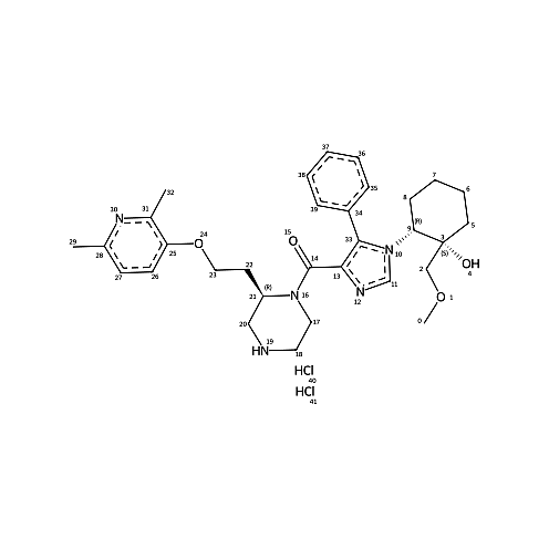 COC[C@]1(O)CCCC[C@H]1n1cnc(C(=O)N2CCNC[C@H]2CCOc2ccc(C)nc2C)c1-c1ccccc1.Cl.Cl